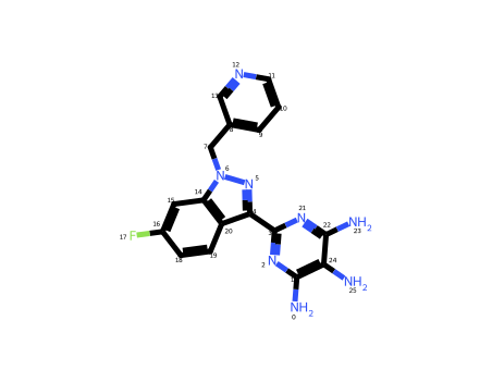 Nc1nc(-c2nn(Cc3cccnc3)c3cc(F)ccc23)nc(N)c1N